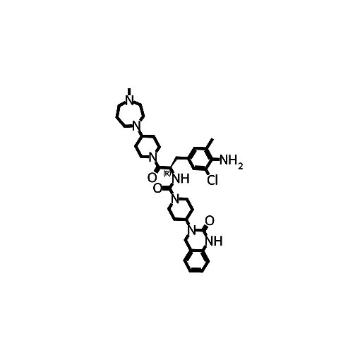 Cc1cc(C[C@@H](NC(=O)N2CCC(N3Cc4ccccc4NC3=O)CC2)C(=O)N2CCC(N3CCCN(C)CC3)CC2)cc(Cl)c1N